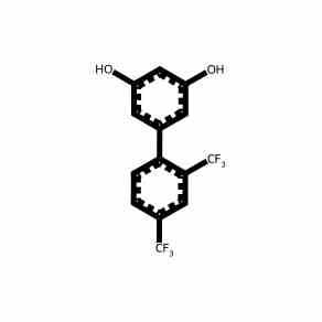 Oc1cc(O)cc(-c2ccc(C(F)(F)F)cc2C(F)(F)F)c1